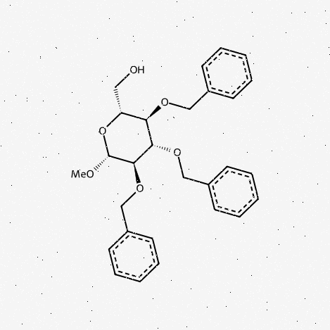 CO[C@@H]1O[C@H](CO)[C@@H](OCc2ccccc2)[C@H](OCc2ccccc2)[C@H]1OCc1ccccc1